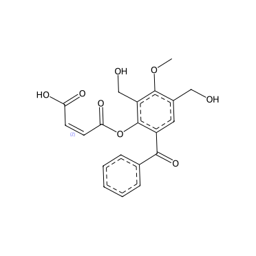 COc1c(CO)cc(C(=O)c2ccccc2)c(OC(=O)/C=C\C(=O)O)c1CO